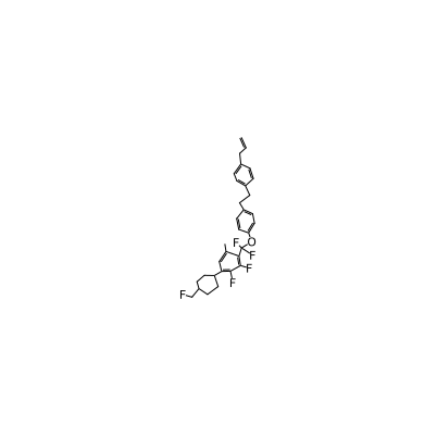 C=CCc1ccc(CCc2ccc(OC(F)(F)c3c(C)cc(C4CCC(CF)CC4)c(F)c3F)cc2)cc1